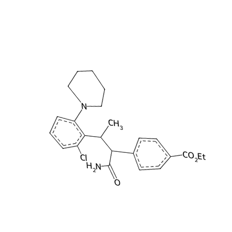 CCOC(=O)c1ccc(C(C(N)=O)C(C)c2c(Cl)cccc2N2CCCCC2)cc1